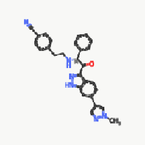 Cn1cc(-c2ccc3c(C(=O)[C@H](NCCc4ccc(C#N)cc4)c4ccccc4)n[nH]c3c2)cn1